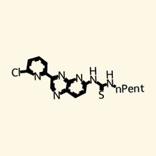 CCCCCNC(=S)Nc1ccc2ncc(-c3cccc(Cl)n3)nc2n1